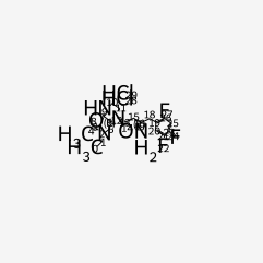 CCN(CC)C[C@@H]1C(=O)NCCN1C(=O)C[C@H](N)Cc1cc(F)c(F)cc1F.Cl.Cl